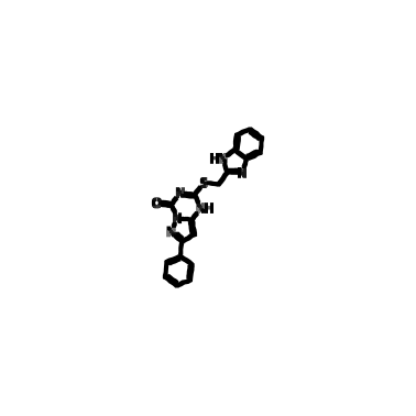 O=c1nc(SCc2nc3ccccc3[nH]2)[nH]c2cc(-c3ccccc3)nn12